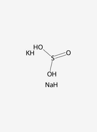 O=S(O)O.[KH].[NaH]